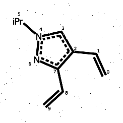 C=Cc1cn(C(C)C)nc1C=C